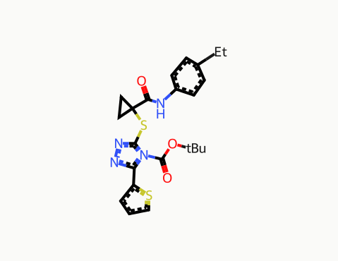 CCc1ccc(NC(=O)C2(Sc3nnc(-c4cccs4)n3C(=O)OC(C)(C)C)CC2)cc1